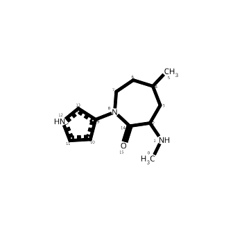 CNC1CC(C)CCN(c2cc[nH]c2)C1=O